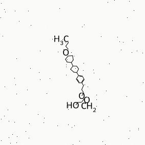 C=C(CO)C(=O)OCCCc1ccc(C2CCC(C3CCC(OCCCC)CC3)CC2)cc1